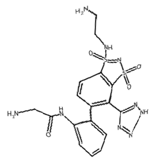 NCCNS1(=O)=NS(=O)(=O)c2c1ccc(-c1ccccc1NC(=O)CN)c2-c1nn[nH]n1